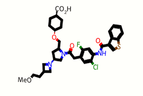 COCCC1CN([C@H]2CC(CO[C@H]3CC[C@H](C(=O)O)CC3)N(C(=O)Cc3cc(Cl)c(NC(=O)c4csc5ccccc45)cc3F)C2)C1